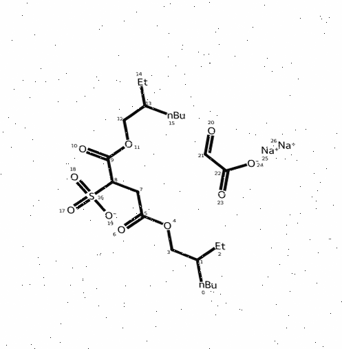 CCCCC(CC)COC(=O)CC(C(=O)OCC(CC)CCCC)S(=O)(=O)[O-].O=CC(=O)[O-].[Na+].[Na+]